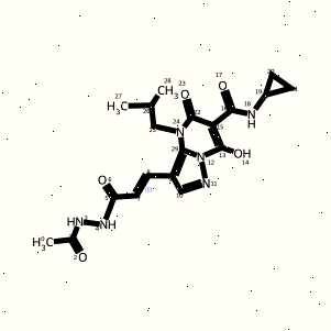 CC(=O)NNC(=O)/C=C/c1cnn2c(O)c(C(=O)NC3CC3)c(=O)n(CC(C)C)c12